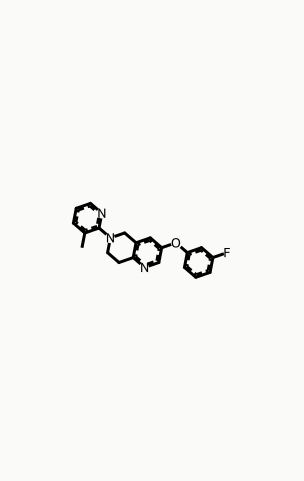 Cc1cccnc1N1CCc2ncc(Oc3cccc(F)c3)cc2C1